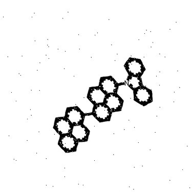 c1cc2ccc3ccc(-c4ccc5ccc6c(-n7c8ccccc8c8ccccc87)ccc7ccc4c5c76)c4ccc(c1)c2c34